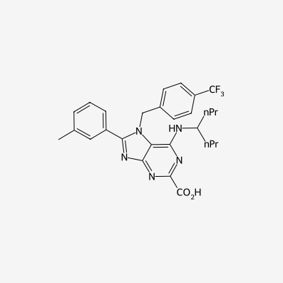 CCCC(CCC)Nc1nc(C(=O)O)nc2nc(-c3cccc(C)c3)n(Cc3ccc(C(F)(F)F)cc3)c12